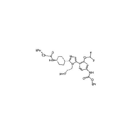 COCCn1c(-c2ccc(NC(=O)OC(C)C)cc2OC(F)F)cnc1[C@H]1CC[C@H](NC(=O)OC(C)C)CC1